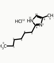 CCCCCCc1nc(C)c[nH]1.Cl